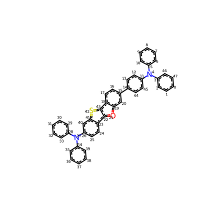 c1ccc(N(c2ccccc2)c2ccc(-c3ccc4c(c3)oc3c5ccc(N(c6ccccc6)c6ccccc6)cc5sc43)cc2)cc1